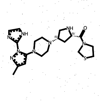 Cc1cc(N2CCN([C@@H]3CN[C@H](C(=O)N4CCSC4)C3)CC2)n(-c2ncc[nH]2)n1